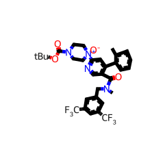 Cc1ccccc1-c1cc([N+]2([O-])CCN(C(=O)OC(C)(C)C)CC2)ncc1C(=O)N(C)Cc1cc(C(F)(F)F)cc(C(F)(F)F)c1